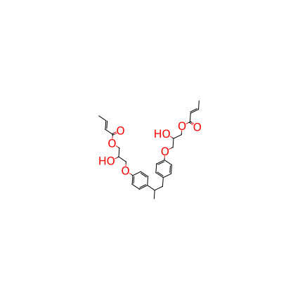 CC=CC(=O)OCC(O)COc1ccc(CC(C)c2ccc(OCC(O)COC(=O)C=CC)cc2)cc1